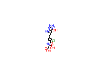 Nc1nc(O)c2c(n1)NCC(CCc1ccc(C(=O)N[C@@H](CCC(=O)O)C(=O)O)c(Cl)c1)C2